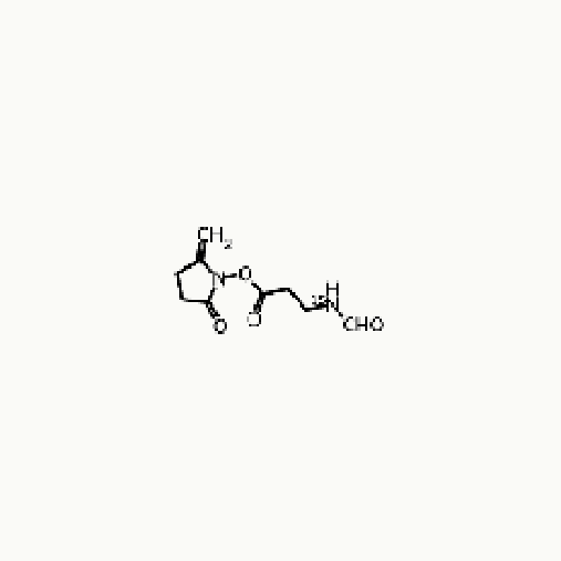 C=C1CCC(=O)N1OC(=O)CC[15NH][13CH]=O